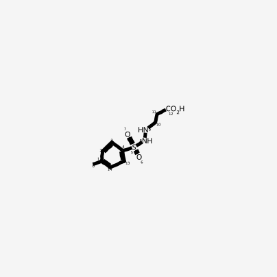 Cc1ccc(S(=O)(=O)NNCCC(=O)O)cc1